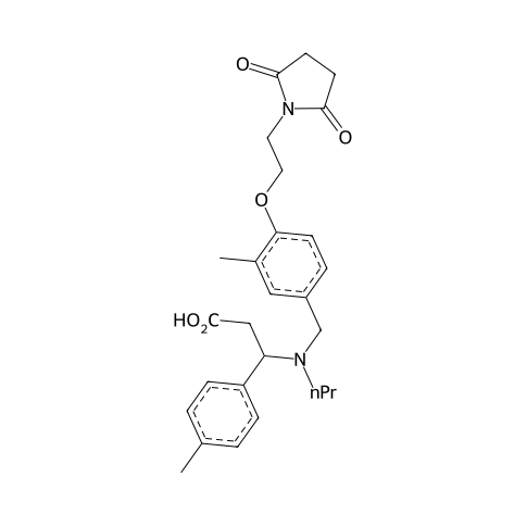 CCCN(Cc1ccc(OCCN2C(=O)CCC2=O)c(C)c1)C(CC(=O)O)c1ccc(C)cc1